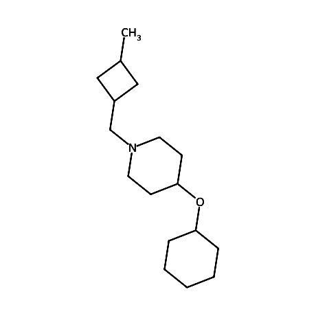 CC1CC(CN2CCC(OC3CCCCC3)CC2)C1